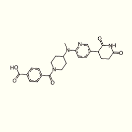 CN(c1ccc(C2CCC(=O)NC2=O)cn1)C1CCN(C(=O)c2ccc(C(=O)O)cc2)CC1